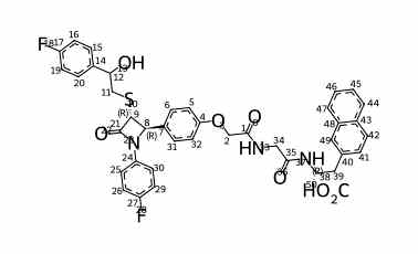 O=C(COc1ccc([C@@H]2[C@@H](SCC(O)c3ccc(F)cc3)C(=O)N2c2ccc(F)cc2)cc1)NCC(=O)N[C@H](Cc1ccc2ccccc2c1)C(=O)O